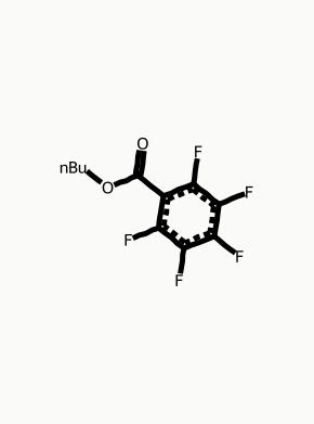 CCCCOC(=O)c1c(F)c(F)c(F)c(F)c1F